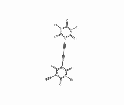 C#Cn1c(=O)n(C#CC#Cn2c(=O)n(CC)c(=O)n(CC)c2=O)c(=O)n(CC)c1=O